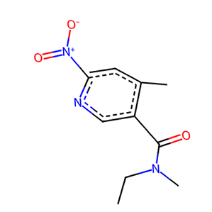 CCN(C)C(=O)c1cnc([N+](=O)[O-])cc1C